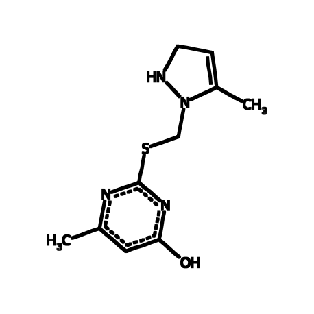 CC1=CCNN1CSc1nc(C)cc(O)n1